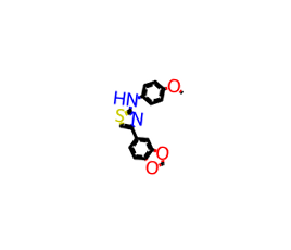 COc1ccc(Nc2nc(-c3ccc4c(c3)OCO4)cs2)cc1